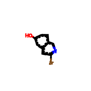 Oc1ccc2cnc(Br)cc2c1